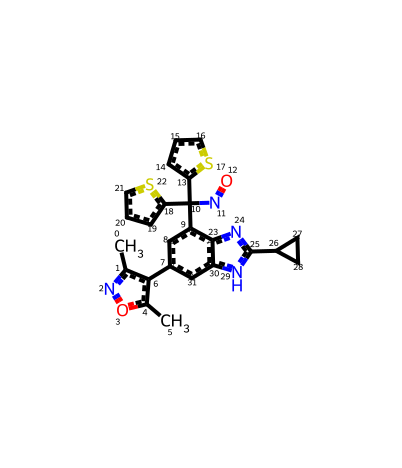 Cc1noc(C)c1-c1cc(C(N=O)(c2cccs2)c2cccs2)c2nc(C3CC3)[nH]c2c1